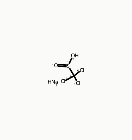 O=S(O)C(Cl)(Cl)Cl.[NaH]